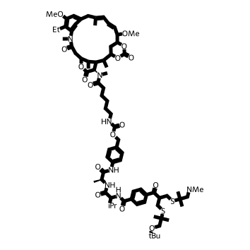 CCc1c(OC)cc2cc1N(C)C(=O)CC1OC(=O)[C@@H](N(C)C(=O)CCCCCNC(=O)OCc3ccc(NC(=O)[C@H](C)NC(=O)C(NC(=O)c4ccc(C(=O)C(CSC(C)(C)CNC)CSC(C)(C)COC(C)(C)C)cc4)C(C)C)cc3)C(C(C)C3CC(OC(=O)O3)C(OC)/C=C/C=C(\C)C2)C1C